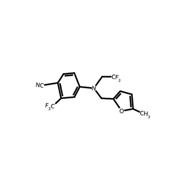 Cc1ccc(CN(CC(F)(F)F)c2ccc(C#N)c(C(F)(F)F)c2)o1